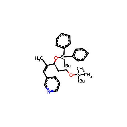 C/C(=C/c1cccnc1)[C@H](CCO[Si](C)(C)C(C)(C)C)O[Si](c1ccccc1)(c1ccccc1)C(C)(C)C